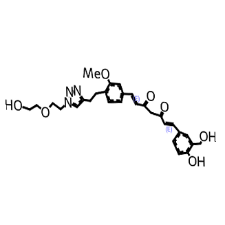 COc1cc(/C=C/C(=O)CC(=O)/C=C/c2ccc(O)c(CO)c2)ccc1CCc1cn(CCOCCO)nn1